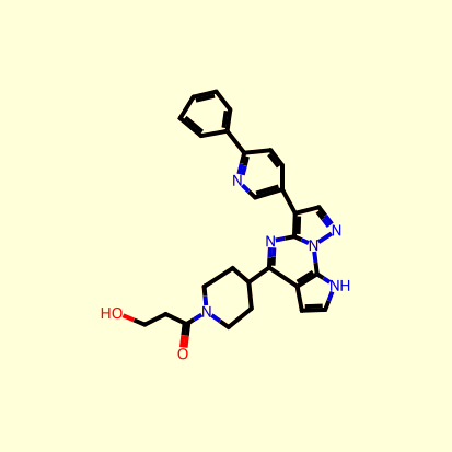 O=C(CCO)N1CCC(c2nc3c(-c4ccc(-c5ccccc5)nc4)cnn3c3[nH]ccc23)CC1